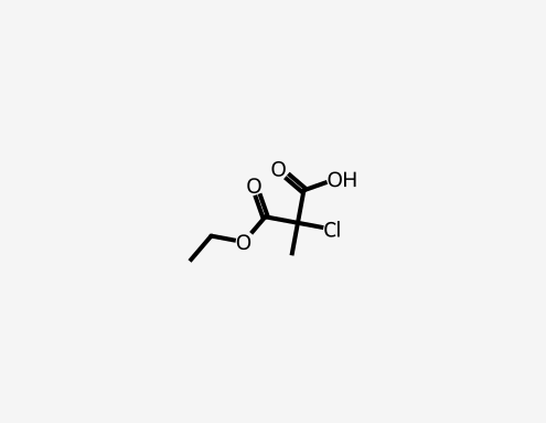 CCOC(=O)C(C)(Cl)C(=O)O